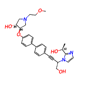 COCCN1C[C@@H](O)[C@H](Oc2ccc(-c3ccc(C#CC(CO)n4ccnc4[C@H](C)O)cc3)cc2)C1